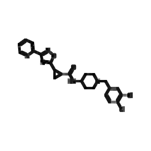 O=C(NC1CCN(Cc2ccc(Cl)c(Cl)c2)CC1)C1CC1c1nc(-c2ccccn2)no1